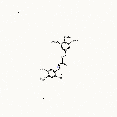 COc1cc(CNC(=S)/C=C/c2cc(C)c(C)cc2Br)cc(OC)c1OC